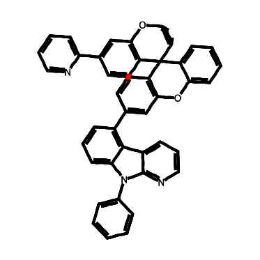 c1ccc(-n2c3cccc(-c4ccc5c(c4)Oc4ccccc4C54c5ccccc5Oc5cc(-c6ccccn6)ccc54)c3c3cccnc32)cc1